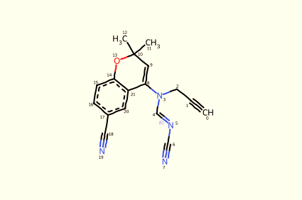 C#CCN(/C=N/C#N)C1=CC(C)(C)Oc2ccc(C#N)cc21